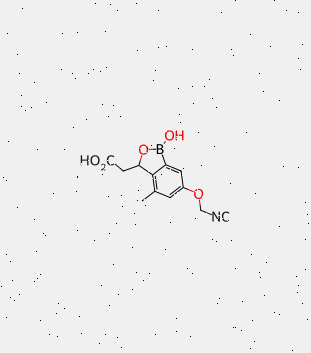 [C-]#[N+]COc1cc(C)c2c(c1)B(O)OC2CC(=O)O